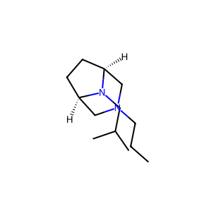 CCCN1C[C@H]2CC[C@@H](C1)N2CC(C)C